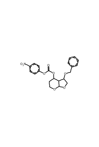 O=C(Oc1ccc([N+](=O)[O-])cc1)OC1CCOC2OCC(OCc3ccccc3)C12